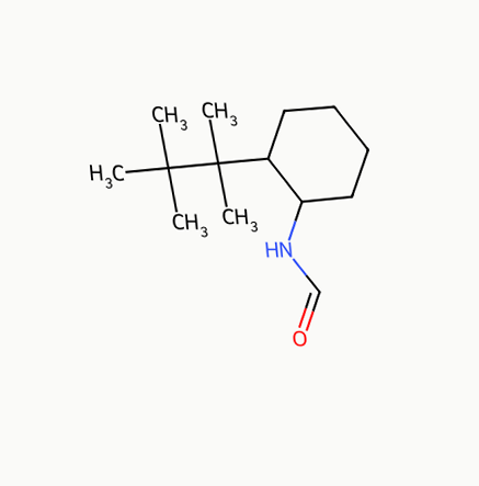 CC(C)(C)C(C)(C)C1CCCCC1NC=O